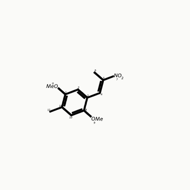 COc1cc(/C=C(\C)[N+](=O)[O-])c(OC)cc1C